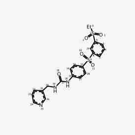 CCS(=O)(=O)c1cccc(S(=O)(=O)c2ccc(NC(=O)NCc3cccnc3)cc2)c1